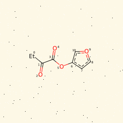 CCC(=O)C(=O)Oc1ccoc1